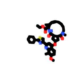 CCOC(=O)C12CC1C=CCCCCN(C)C(=O)C1CC(Oc3cc(-c4csc(C5CCCCC5)n4)nc4c(C)c(OC)ccc34)CC1C(=O)N2